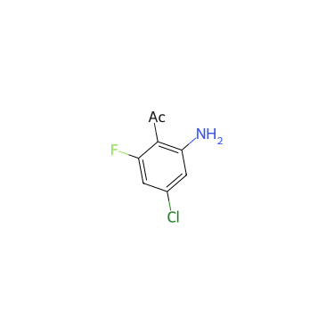 CC(=O)c1c(N)cc(Cl)cc1F